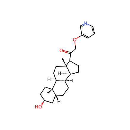 C[C@]12CC[C@H](O)C[C@H]1CC[C@@H]1[C@@H]2CC[C@]2(C)[C@@H](C(=O)COc3cccnc3)CC[C@@H]12